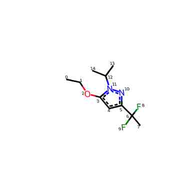 CCOc1cc(C(C)(F)F)nn1C(C)C